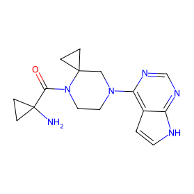 NC1(C(=O)N2CCN(c3ncnc4[nH]ccc34)CC23CC3)CC1